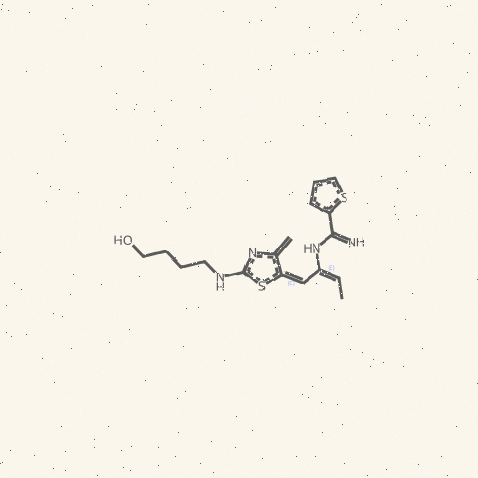 C=c1nc(NCCCCO)s/c1=C/C(=C\C)NC(=N)c1cccs1